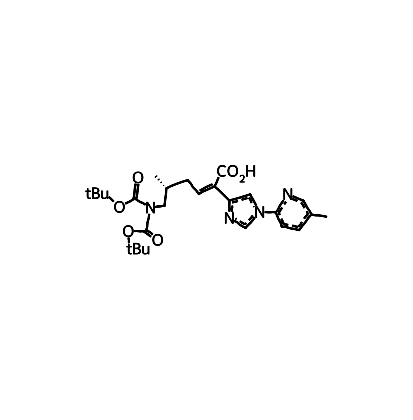 Cc1ccc(-n2cnc(C(=CC[C@@H](C)CN(C(=O)OC(C)(C)C)C(=O)OC(C)(C)C)C(=O)O)c2)nc1